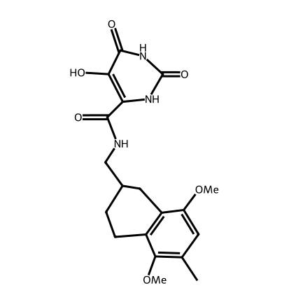 COc1cc(C)c(OC)c2c1CC(CNC(=O)c1[nH]c(=O)[nH]c(=O)c1O)CC2